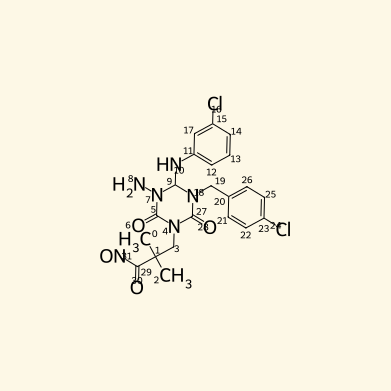 CC(C)(CN1C(=O)N(N)C(Nc2cccc(Cl)c2)N(Cc2ccc(Cl)cc2)C1=O)C(=O)N=O